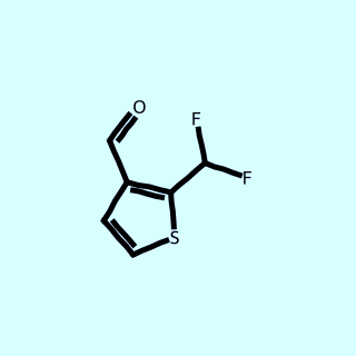 O=Cc1ccsc1C(F)F